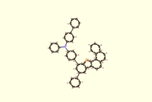 c1ccc(-c2ccc(N(c3ccccc3)c3ccc(-c4cc(-c5ccccc5)cc5c4sc4c5ccc5ccc6ccccc6c54)cc3)cc2)cc1